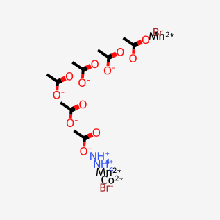 CC(=O)[O-].CC(=O)[O-].CC(=O)[O-].CC(=O)[O-].CC(=O)[O-].CC(=O)[O-].[Br-].[Br-].[Co+2].[Mn+2].[Mn+2].[NH4+].[NH4+]